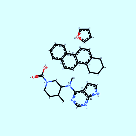 CC1CCN(C(=O)O)CC1N(C)c1ncnc2[nH]ccc12.c1ccc2c(c1)ccc1c3c(ccc12)CCCC3.c1ccoc1